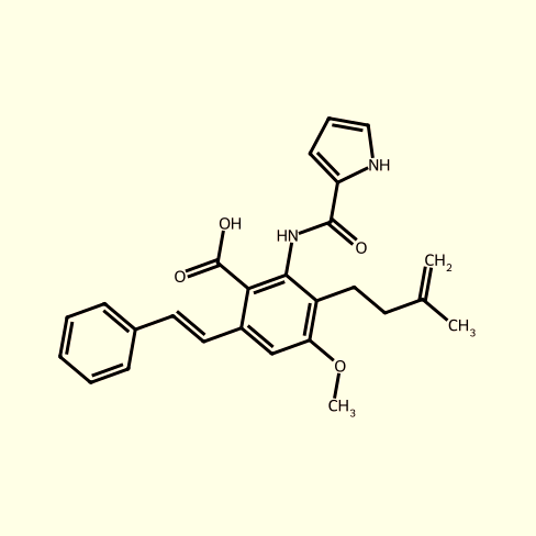 C=C(C)CCc1c(OC)cc(C=Cc2ccccc2)c(C(=O)O)c1NC(=O)c1ccc[nH]1